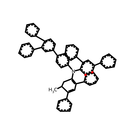 CC1CC(N(c2ccc(-c3ccc(-c4ccccc4)c(-c4ccccc4)c3)cc2)c2ccc(-c3ccccc3)cc2-c2ccccc2)=C(c2ccccc2)C=C1c1ccccc1